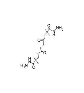 CC(C)(CCC(=O)CCC(=O)CCC(C)(C)C(=O)NN)C(=O)NN